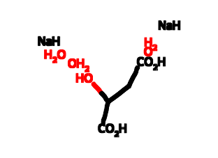 O.O.O.O=C(O)CC(O)C(=O)O.[NaH].[NaH]